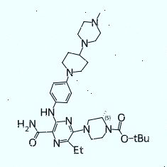 CCc1nc(C(N)=O)c(Nc2ccc(N3CCC(N4CCN(C)CC4)CC3)cc2)nc1N1CCN(C(=O)OC(C)(C)C)[C@@H](C)C1